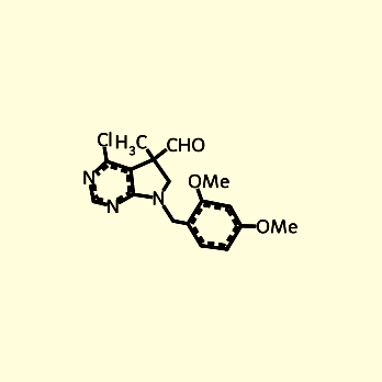 COc1ccc(CN2CC(C)(C=O)c3c(Cl)ncnc32)c(OC)c1